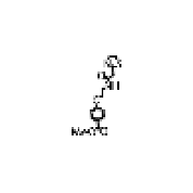 COC(=O)c1ccc(OCCNC(=O)CC2=NCCS2)cc1